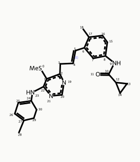 CSc1c(C/C=C/c2cc(NC(=O)C3CC3)ccc2C)ncnc1NC1=CC=C(C)CC1